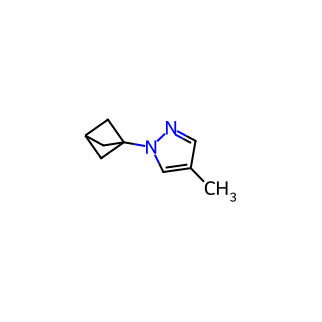 Cc1cnn(C23CC(C2)C3)c1